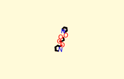 O=C(CC(=O)Oc1ccccn1)Oc1ccccn1